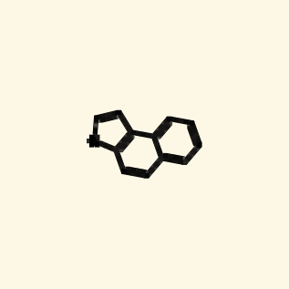 C1=Cc2c(ccc3ccccc23)[N]1